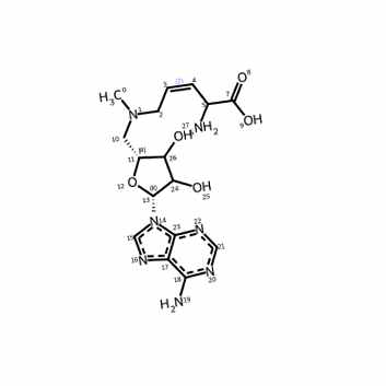 CN(C/C=C\C(N)C(=O)O)C[C@H]1O[C@@H](n2cnc3c(N)ncnc32)C(O)C1O